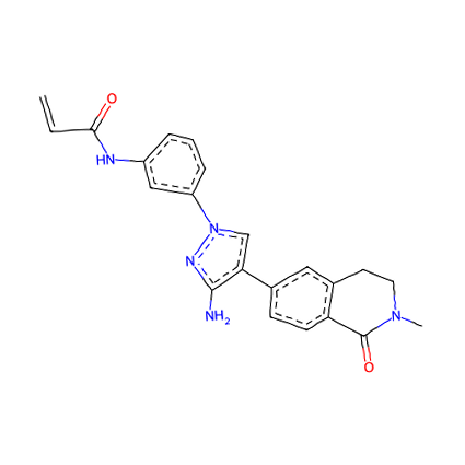 C=CC(=O)Nc1cccc(-n2cc(-c3ccc4c(c3)CCN(C)C4=O)c(N)n2)c1